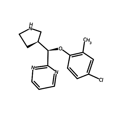 Cc1cc(Cl)ccc1O[C@@H](c1ncccn1)[C@H]1CCNC1